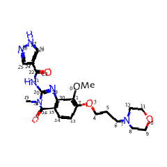 COc1c(OCCCN2CCOCC2)ccc2c(=O)n(C)c(NC(=O)c3cn[nH]c3)nc12